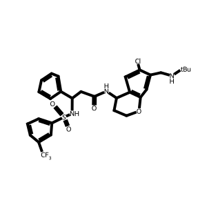 CC(C)(C)NCc1cc2c(cc1Cl)C(NC(=O)CC(NS(=O)(=O)c1cccc(C(F)(F)F)c1)c1ccccc1)CCO2